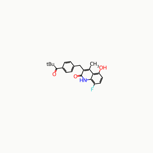 Cc1c(Cc2ccc(C(=O)C(C)(C)C)cc2)c(=O)[nH]c2c(F)ccc(O)c12